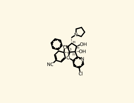 CC1([C@@]23Oc4cc(Cl)cnc4[C@]2(O)[C@H](O)[C@@H](CN2CCCC2)[C@H]3c2ccccc2)C=CC(C#N)=CC1